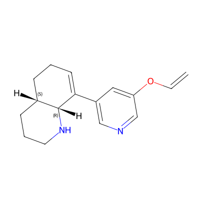 C=COc1cncc(C2=CCC[C@H]3CCCN[C@@H]23)c1